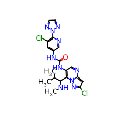 CNC(c1c(NC(=O)Nc2cnc(-n3nccn3)c(Cl)c2)cnc2cc(Cl)nn12)C(C)C